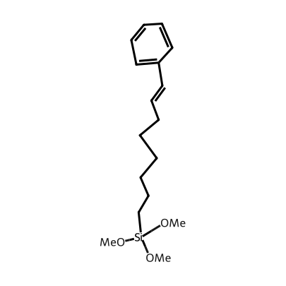 CO[Si](CCCCCCC=Cc1ccccc1)(OC)OC